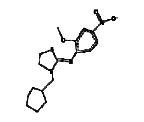 COc1cc([N+](=O)[O-])ccc1N=C1SCCN1CC1CCCCC1